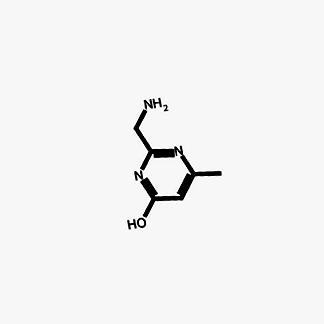 Cc1cc(O)nc(CN)n1